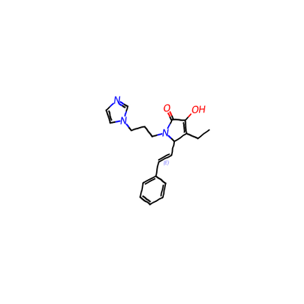 CCC1=C(O)C(=O)N(CCCn2ccnc2)C1/C=C/c1ccccc1